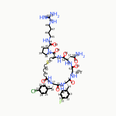 CC(C)[C@@H]1NC(=O)[C@H](Cc2ccc(F)cc2)NC(=O)[C@H](Cc2ccc(Cl)cc2)NC(=O)CCCSC[C@@H](C(=O)N2CCC[C@H]2C(=O)NCCCCNC(=N)N)NC(=O)[C@H](CC(N)=O)NC1=O